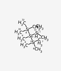 C[SiH](C)[Si](C)([Si](C)(C)C)[Si](C)(C)C